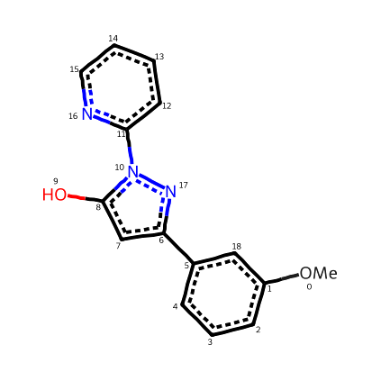 COc1cccc(-c2cc(O)n(-c3ccccn3)n2)c1